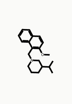 COc1ccc2ccccc2c1CN1CCCC(C(C)C)C1